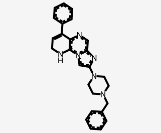 C1=C(c2ccccc2)c2ncc3nc(N4CCN(Cc5ccccc5)CC4)cn3c2NC1